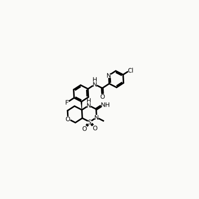 CN1C(=N)N[C@@]2(c3cc(NC(=O)c4ccc(Cl)cn4)ccc3F)CCOCC2S1(=O)=O